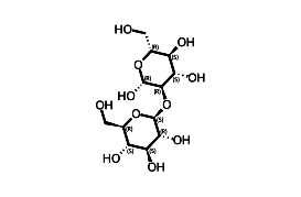 OC[C@H]1O[C@@H](O[C@@H]2[C@@H](O)[C@H](O)[C@@H](CO)O[C@H]2O)[C@H](O)[C@@H](O)[C@@H]1O